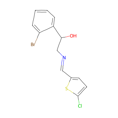 OC(C/N=C/c1ccc(Cl)s1)c1ccccc1Br